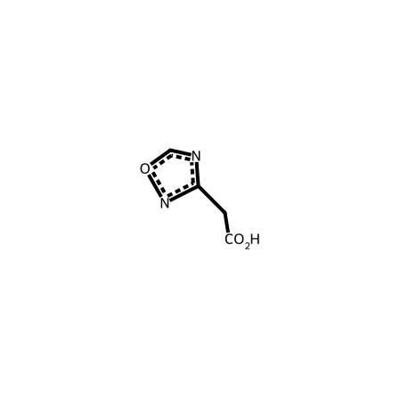 O=C(O)Cc1ncon1